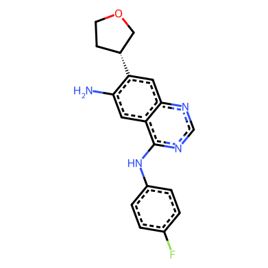 Nc1cc2c(Nc3ccc(F)cc3)ncnc2cc1[C@@H]1CCOC1